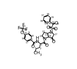 CCCC(NC(=O)c1ccc(OC(F)(F)F)cc1)C(=O)N1CCC2C1C(=O)CN2S(=O)(=O)C(=O)c1ccccn1